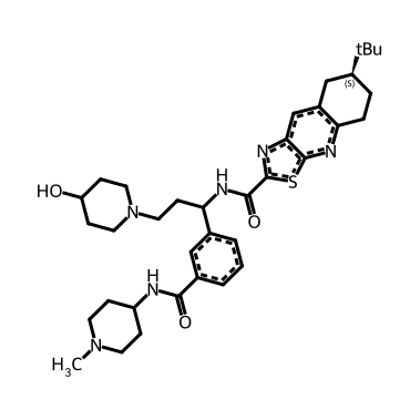 CN1CCC(NC(=O)c2cccc(C(CCN3CCC(O)CC3)NC(=O)c3nc4cc5c(nc4s3)CC[C@H](C(C)(C)C)C5)c2)CC1